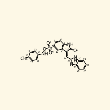 O=C1Nc2ccc(S(=O)(=O)ONc3ccc(Cl)cc3)cc2C1=Cc1nc2ccccc2[nH]1